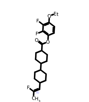 CCOc1ccc(OC(=O)C2CCC(C3CCC(/C=C(/C)F)CC3)CC2)c(F)c1F